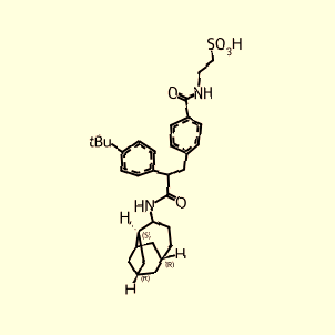 CC(C)(C)c1ccc(C(Cc2ccc(C(=O)NCCS(=O)(=O)O)cc2)C(=O)NC2CC[C@H]3CC4C[C@@H](C3)C[C@@H]42)cc1